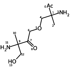 CC(=O)C(C)(N)COCC(=O)C(C)(N)CO